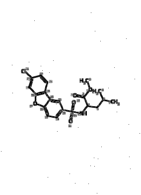 COC(=O)C(CC(C)C)NS(=O)(=O)c1ccc2oc3cc(Cl)ccc3c2c1